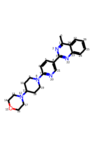 Cc1nc(-c2ccc(N3CCC(N4CCOCC4)CC3)nc2)nc2ccccc12